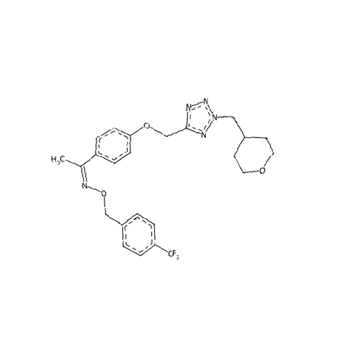 CC(=NOCc1ccc(C(F)(F)F)cc1)c1ccc(OCc2nnn(CC3CCOCC3)n2)cc1